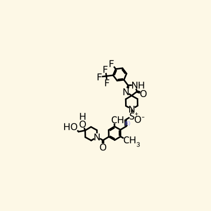 Cc1cc(C(=O)N2CCC(O)(CO)CC2)cc(C)c1/C=C/[S+]([O-])N1CCC2(CC1)N=C(c1ccc(F)c(C(F)(F)F)c1)NC2=O